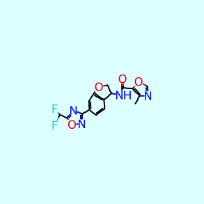 Cc1ncoc1C(=O)NC1COc2cc(-c3noc(C(F)F)n3)ccc21